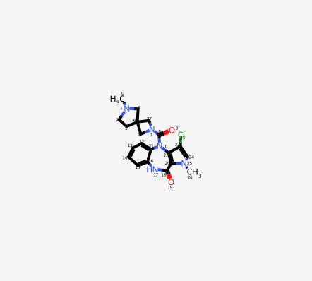 CN1CCC2(C1)CN(C(=O)N1c3ccccc3NC(=O)c3c1c(Cl)cn3C)C2